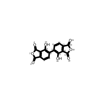 O=C1OC(=O)c2c1ccc(-c1ccc3c(c1O)C(=O)OC3=O)c2O